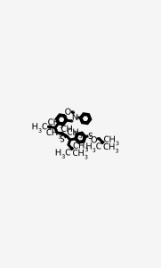 CC(C)(C)COSc1ccc(C(CC(C)(C)C)C2(C)SC2(C)CC(c2ccc3c(c2)CN(c2ccccc2)CO3)C(C)(C)C)cc1